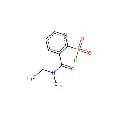 CCN(C)C(=O)c1cccnc1S(=O)(=O)Cl